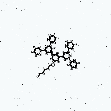 CCCCCCOc1cc(-c2cc(-c3ccccn3)nc(-c3ccccn3)c2)cc(-c2cc(-c3ccccn3)nc(-c3ccccn3)c2)c1